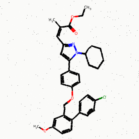 CCOC(=O)C(C)=Cc1cc(-c2ccc(OCc3cc(OC)ccc3-c3ccc(Cl)cc3)cc2)n(C2CCCCC2)n1